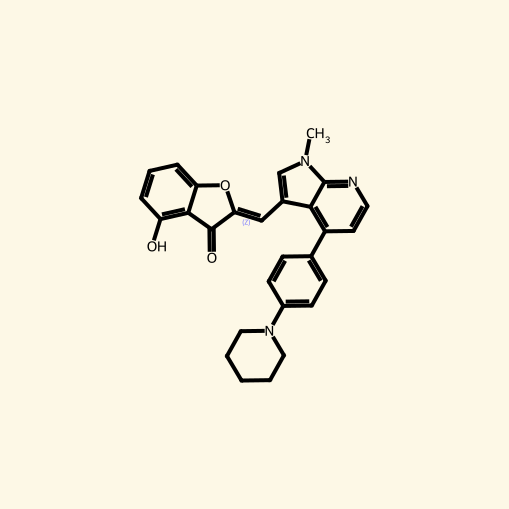 Cn1cc(/C=C2\Oc3cccc(O)c3C2=O)c2c(-c3ccc(N4CCCCC4)cc3)ccnc21